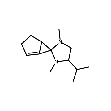 CC(C)C1CN(C)C2(C3=CCCC32)N1C